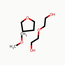 C1CCOC1.COC.OCCOCCO